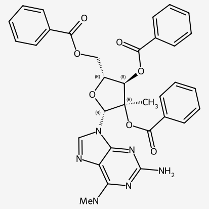 CNc1nc(N)nc2c1ncn2[C@@H]1O[C@H](COC(=O)c2ccccc2)[C@@H](OC(=O)c2ccccc2)[C@@]1(C)OC(=O)c1ccccc1